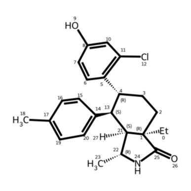 CC[C@@]12CC[C@@H](c3ccc(O)cc3Cl)[C@H](c3ccc(C)cc3)[C@@H]1[C@@H](C)NC2=O